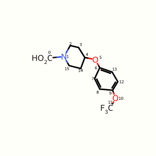 O=C(O)N1CCC(Oc2ccc(OC(F)(F)F)cc2)CC1